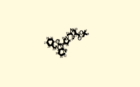 Cn1c(C(=O)OC(C)(C)C)cnc1CN1CC[C@H](n2c(=O)n(Cc3ccccc3)c3cccnc32)C1